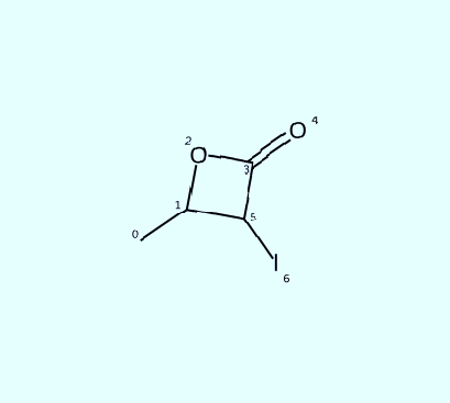 CC1OC(=O)C1I